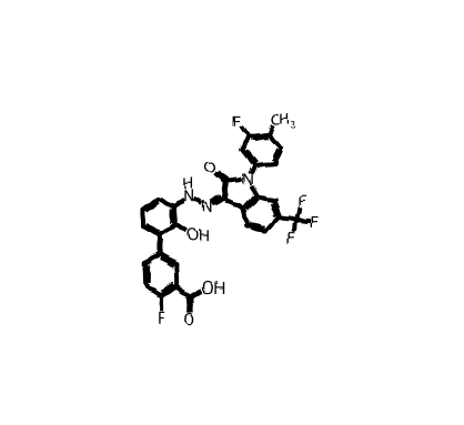 Cc1ccc(N2C(=O)C(=NNc3cccc(-c4ccc(F)c(C(=O)O)c4)c3O)c3ccc(C(F)(F)F)cc32)cc1F